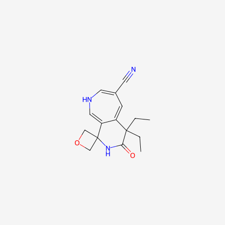 CCC1(CC)C(=O)NC2(COC2)C2=CNC=C(C#N)C=C21